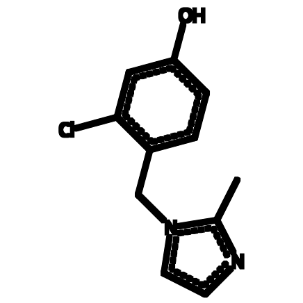 Cc1nccn1Cc1ccc(O)cc1Cl